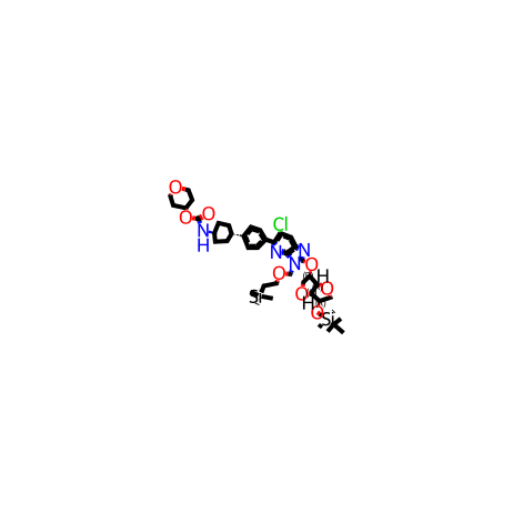 CC(C)(C)[Si](C)(C)O[C@@H]1CO[C@H]2[C@@H]1OC[C@H]2Oc1nc2cc(Cl)c(-c3ccc([C@H]4CC[C@H](NC(=O)OC5CCOCC5)CC4)cc3)nc2n1COCC[Si](C)(C)C